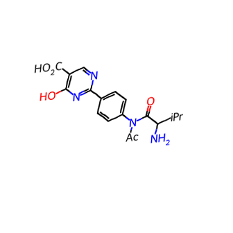 CC(=O)N(C(=O)C(N)C(C)C)c1ccc(-c2ncc(C(=O)O)c(O)n2)cc1